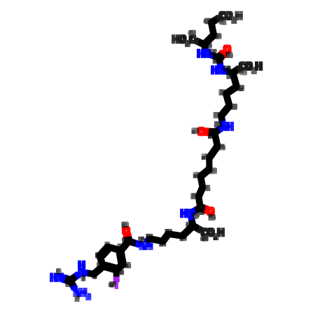 N=C(N)NCc1ccc(C(=O)NCCCCC(NC(=O)CCCCCCC(=O)NCCCCC(NC(=O)NC(CCC(=O)O)C(=O)O)C(=O)O)C(=O)O)cc1I